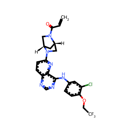 C=CC(=O)N1C[C@@H]2C[C@H]1CN2c1ccc2ncnc(Nc3ccc(OCC(F)(F)F)c(Cl)c3)c2n1